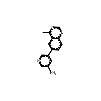 Cc1ncnc2ccc(-c3cncc(N)c3)cc12